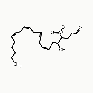 CCCCC/C=C\C/C=C\C/C=C\C/C=C\CC(O)C(CC[C]=O)[N+](=O)[O-]